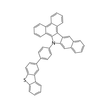 c1ccc2cc3c(cc2c1)c1c2ccccc2c2ccccc2c1n3-c1ccc(-c2ccc3sc4ccccc4c3c2)cc1